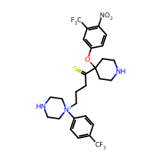 O=[N+]([O-])c1ccc(OC2(C(=S)CCC[N+]3(c4ccc(C(F)(F)F)cc4)CCNCC3)CCNCC2)cc1C(F)(F)F